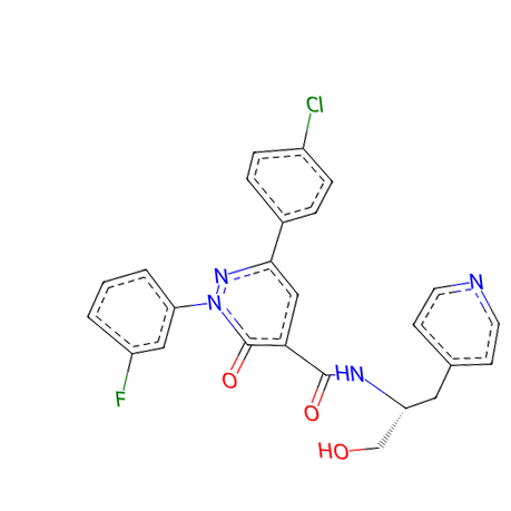 O=C(N[C@@H](CO)Cc1ccncc1)c1cc(-c2ccc(Cl)cc2)nn(-c2cccc(F)c2)c1=O